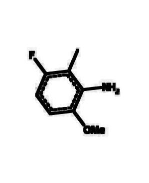 COc1ccc(F)c(C)c1N